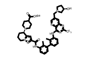 COC(=O)C1CCN([C@@H]2CCCn3nc(C(=O)Nc4cccc(-c5cccc(Nc6nc(C(F)(F)F)nc7cc(CN8CC[C@@H](O)C8)cnc67)c5C)c4C)cc32)CC1